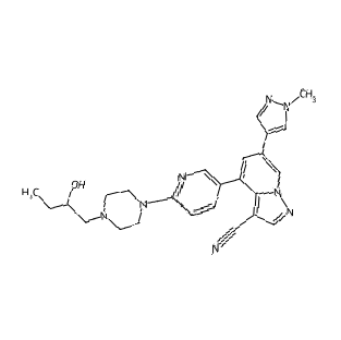 CCC(O)CN1CCN(c2ccc(-c3cc(-c4cnn(C)c4)cn4ncc(C#N)c34)cn2)CC1